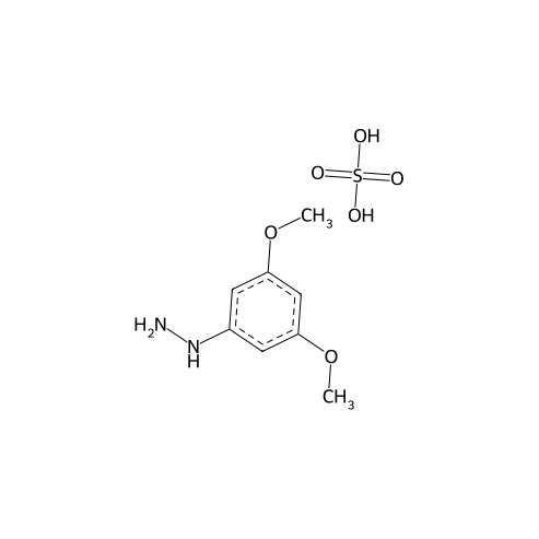 COc1cc(NN)cc(OC)c1.O=S(=O)(O)O